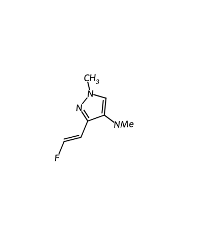 CNc1cn(C)nc1/C=C/F